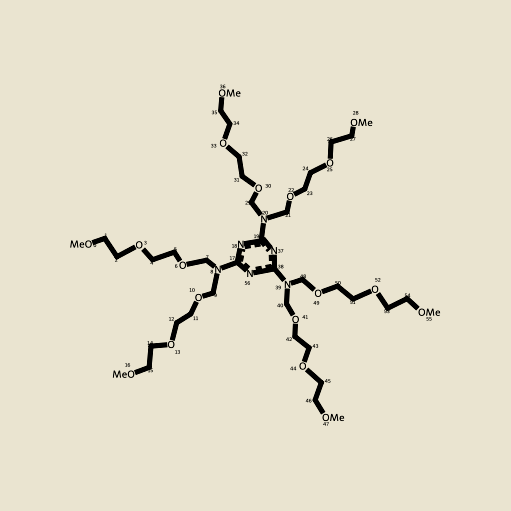 COCCOCCOCN(COCCOCCOC)c1nc(N(COCCOCCOC)COCCOCCOC)nc(N(COCCOCCOC)COCCOCCOC)n1